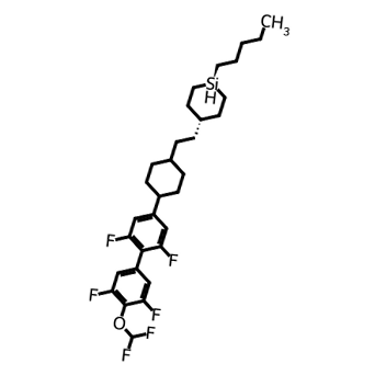 CCCCC[Si@H]1CC[C@H](CCC2CCC(c3cc(F)c(-c4cc(F)c(OC(F)F)c(F)c4)c(F)c3)CC2)CC1